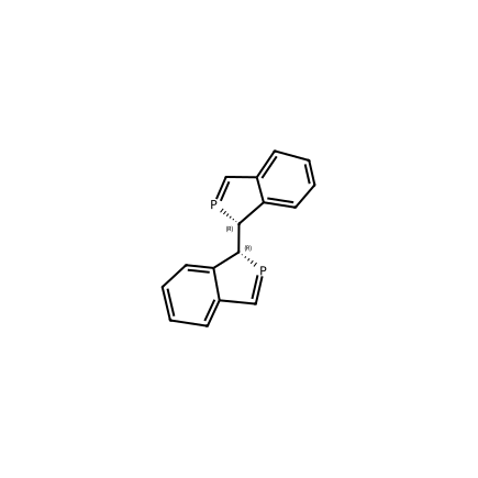 C1=P[C@@H]([C@@H]2P=Cc3ccccc32)c2ccccc21